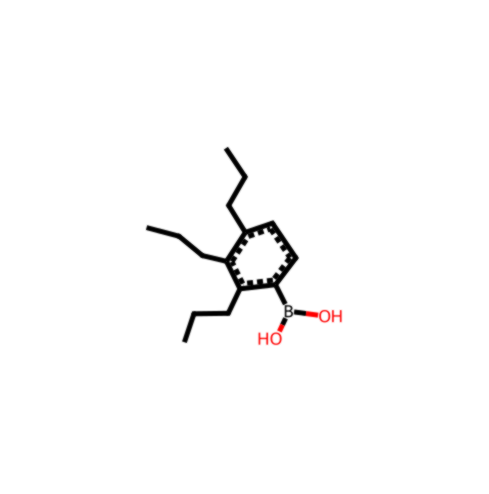 CCCc1ccc(B(O)O)c(CCC)c1CCC